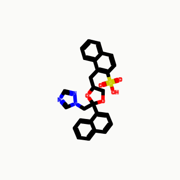 O=S(=O)(O)c1ccc2ccccc2c1CC1COC(Cn2cncn2)(c2cccc3ccccc23)O1